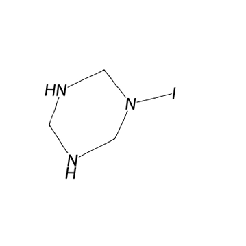 IN1CNCNC1